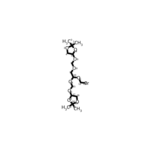 CC1(C)OCC(OCOCC(OCBr)OCOC2COC(C)(C)O2)O1